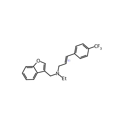 CCN(C/C=C/c1ccc(C(F)(F)F)cc1)Cc1coc2ccccc12